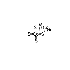 [AlH3].[Co].[Ni].[S]=[Co](=[S])(=[S])=[S]